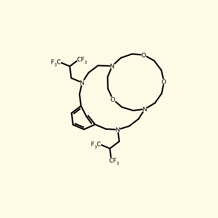 FC(F)(F)C(CN1CCN2CCOCCOCCN(CCOCC2)CCN(CC(C(F)(F)F)C(F)(F)F)Cc2cccc(c2)C1)C(F)(F)F